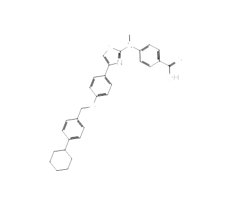 CN(c1ccc(C(=O)O)cc1)c1nc(-c2ccc(OCc3ccc(C4CCCCC4)cc3)cc2)cs1